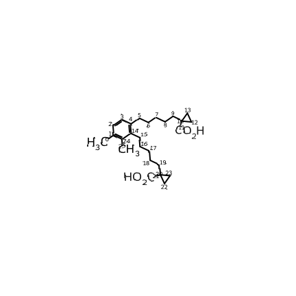 Cc1ccc(CCCCCC2(C(=O)O)CC2)c(CCCCCC2(C(=O)O)CC2)c1C